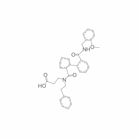 COc1ccccc1CNC(=O)c1ccccc1-c1ccccc1C(=O)N(CCC(=O)O)CCc1ccccc1